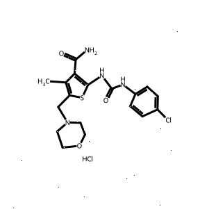 Cc1c(CN2CCOCC2)sc(NC(=O)Nc2ccc(Cl)cc2)c1C(N)=O.Cl